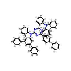 c1ccc(-c2ccc(-c3nc(-c4ccccc4-n4c5ccccc5c5ccccc54)nc(-n4c5ccccc5c5c(-c6ccccc6)cc(-c6ccccc6)cc54)n3)cc2)cc1